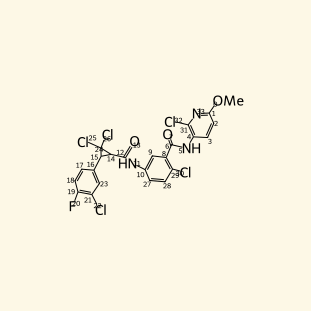 COc1ccc(NC(=O)c2cc(NC(=O)C3C(c4ccc(F)c(Cl)c4)C3(Cl)Cl)ccc2Cl)c(Cl)n1